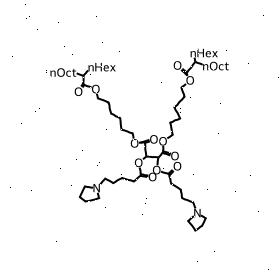 CCCCCCCCC(CCCCCC)C(=O)OCCCCCCOC(=O)C(OC(=O)CCCCN1CCCC1)C(OC(=O)CCCCN1CCCC1)C(=O)OCCCCCCOC(=O)C(CCCCCC)CCCCCCCC